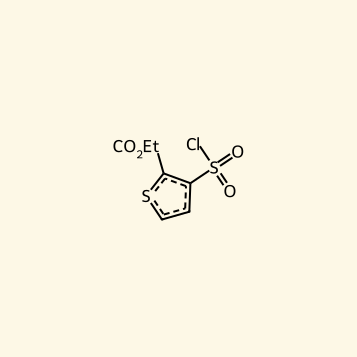 CCOC(=O)c1sccc1S(=O)(=O)Cl